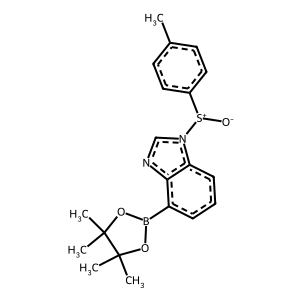 Cc1ccc([S+]([O-])n2cnc3c(B4OC(C)(C)C(C)(C)O4)cccc32)cc1